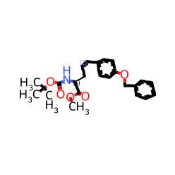 COC(=O)[C@H](C/C=C\c1ccc(OCc2ccccc2)cc1)NC(=O)OC(C)(C)C